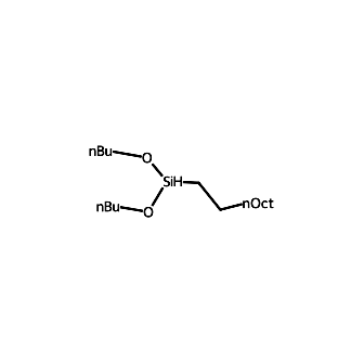 CCCCCCCCCC[SiH](OCCCC)OCCCC